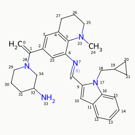 C=C(c1cc2c(c(/N=C/c3cc4ccccc4n3CC3CC3)c1)N(C)CCC2)N1CCCC(N)C1